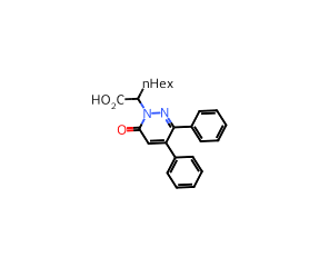 CCCCCCC(C(=O)O)n1nc(-c2ccccc2)c(-c2ccccc2)cc1=O